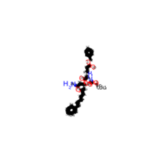 CC(C)(C)OC(=O)N[C@@H](CCCC(=O)OCc1ccccc1)C(=O)O[C@@H](CCCCCCCc1ccccc1)CC(N)=O